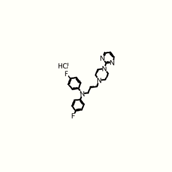 Cl.Fc1ccc(N(CCCN2CCN(c3ncccn3)CC2)c2ccc(F)cc2)cc1